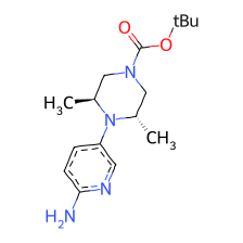 C[C@H]1CN(C(=O)OC(C)(C)C)C[C@H](C)N1c1ccc(N)nc1